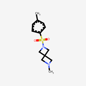 Cc1ccc(S(=O)(=O)N2CC3(CN(C)C3)C2)cc1